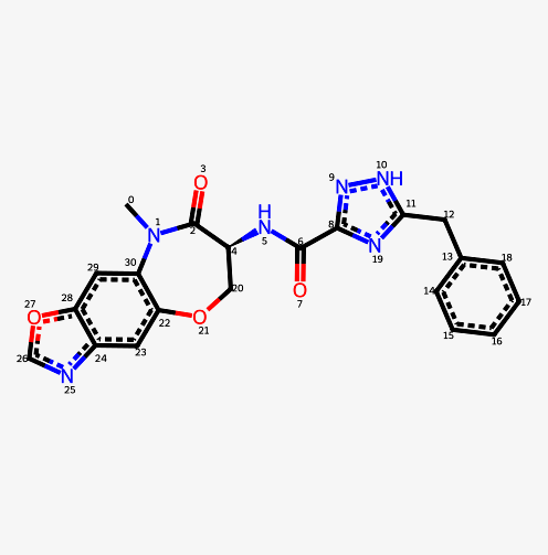 CN1C(=O)[C@@H](NC(=O)c2n[nH]c(Cc3ccccc3)n2)COc2cc3ncoc3cc21